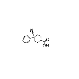 N#CC1(c2ccccc2)CCC(C(=O)O)CC1